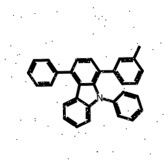 Cc1cccc(-c2ccc(-c3ccccc3)c3c4ccccc4n(-c4ccccc4)c23)c1